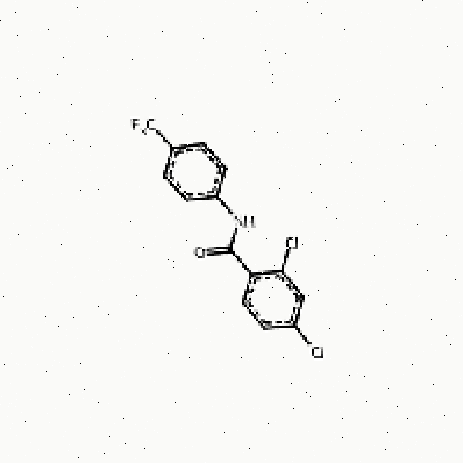 O=C(Nc1ccc(C(F)(F)F)cc1)c1ccc(Cl)cc1Cl